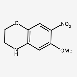 COc1cc2c(cc1[N+](=O)[O-])OCCN2